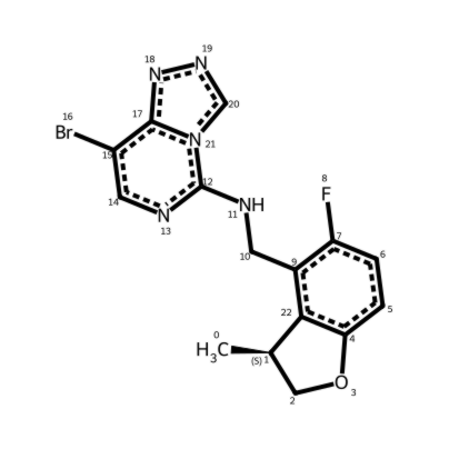 C[C@@H]1COc2ccc(F)c(CNc3ncc(Br)c4nncn34)c21